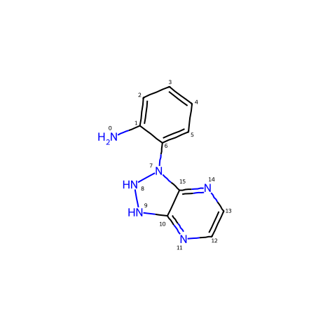 Nc1ccccc1N1NNc2nccnc21